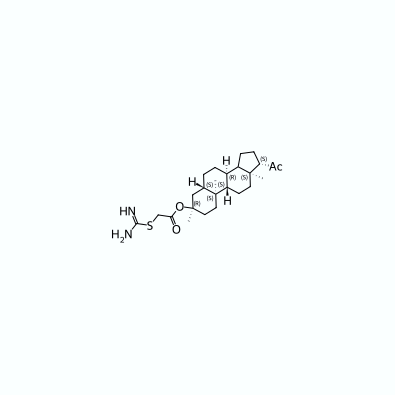 CC(=O)[C@H]1CCC2[C@@H]3CC[C@H]4C[C@](C)(OC(=O)CSC(=N)N)CC[C@]4(C)[C@H]3CC[C@@]21C